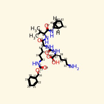 CC(C)[C@H](NC(=O)[C@@H](CCCCNC(=O)OCc1ccccc1)NC(=O)N[C@@H](CCCCN)C(=O)O)C(=O)N[C@@H]1C[C@H]2CC[C@@H]1C2